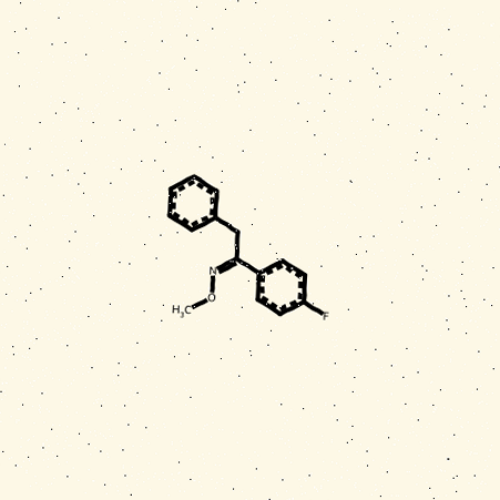 CON=C(Cc1ccccc1)c1ccc(F)cc1